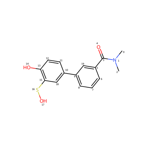 CN(C)C(=O)c1cccc(-c2ccc(O)c(SO)c2)c1